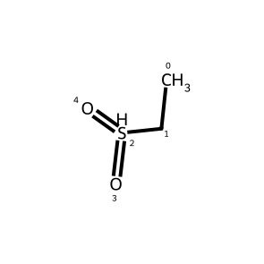 CC[SH](=O)=O